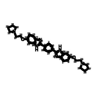 c1cc2nc(-c3ccc(-c4nc5ccc(OCCN6CCCC6)cc5[nH]4)cc3)[nH]c2cc1OCCN1CCCC1